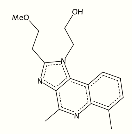 COCCc1nc2c(C)nc3c(C)cccc3c2n1CCO